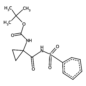 CC(C)(C)OC(=O)NC1(C(=O)NS(=O)(=O)c2ccccc2)CC1